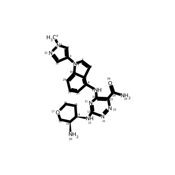 Cn1cc(-n2ccc3c(Nc4nc(N[C@@H]5CCOC[C@@H]5N)nnc4C(N)=O)cccc32)cn1